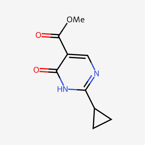 COC(=O)c1cnc(C2CC2)[nH]c1=O